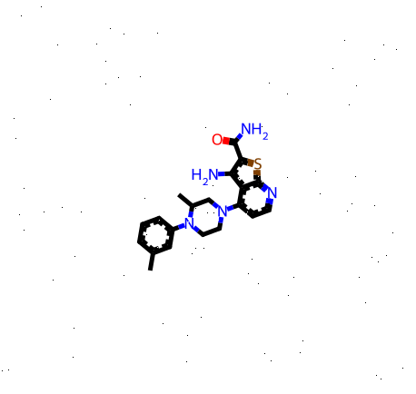 Cc1cccc(N2CCN(c3ccnc4sc(C(N)=O)c(N)c34)CC2C)c1